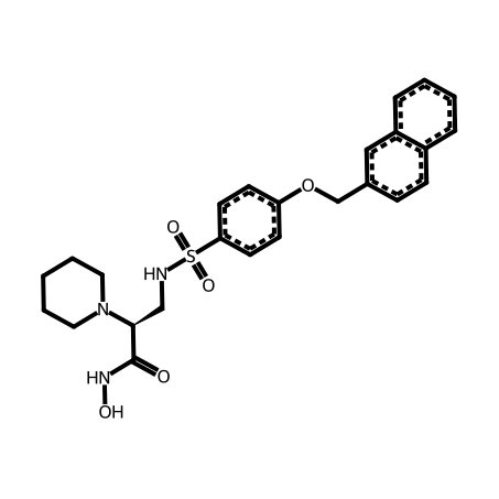 O=C(NO)[C@H](CNS(=O)(=O)c1ccc(OCc2ccc3ccccc3c2)cc1)N1CCCCC1